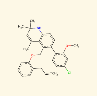 C=CCc1ccccc1OCc1c(-c2ccc(Cl)cc2OC)ccc2c1C(C)=CC(C)(C)N2